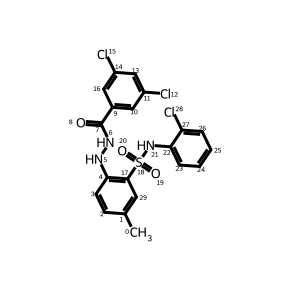 Cc1ccc(NNC(=O)c2cc(Cl)cc(Cl)c2)c(S(=O)(=O)Nc2ccccc2Cl)c1